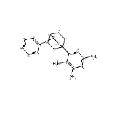 Nc1nc(N)c(N)c(C23CCC(CC2)C(c2ccccc2)C3)n1